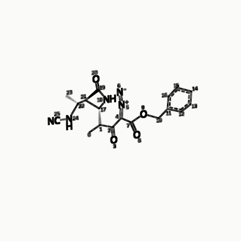 CC(C(=O)C(=[N+]=[N-])C(=O)OCc1ccccc1)[C@H]1NC(=O)[C@@H]1[C@@H](C)NC#N